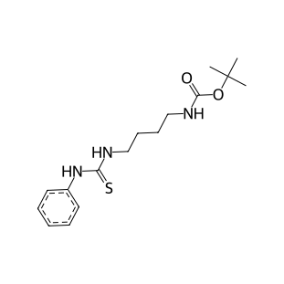 CC(C)(C)OC(=O)NCCCCNC(=S)Nc1ccccc1